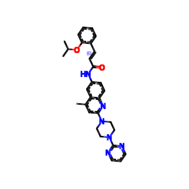 Cc1cc(N2CCN(c3ncccn3)CC2)nc2ccc(NC(=O)/C=C/c3ccccc3OC(C)C)cc12